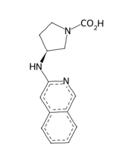 O=C(O)N1CC[C@H](Nc2cc3ccccc3cn2)C1